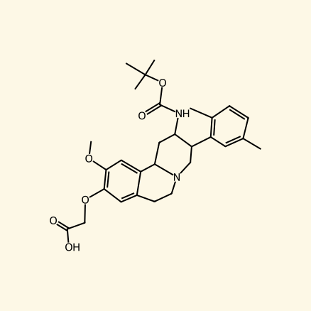 COc1cc2c(cc1OCC(=O)O)CCN1CC(c3cc(C)ccc3C)C(NC(=O)OC(C)(C)C)CC21